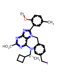 CCOc1ccc(C)cc1-c1nc2nc(C(=O)O)nc(N[C@H](C)C3CCC3)c2n1Cc1ccc(CI)cc1